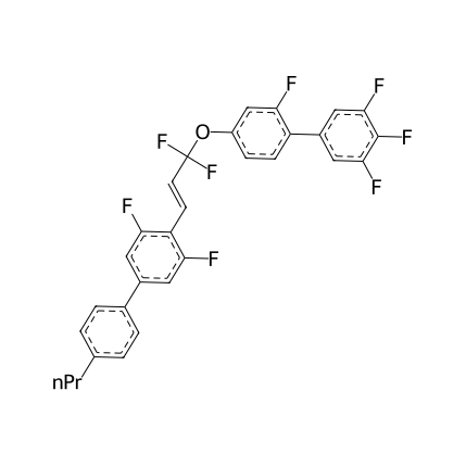 CCCc1ccc(-c2cc(F)c(/C=C/C(F)(F)Oc3ccc(-c4cc(F)c(F)c(F)c4)c(F)c3)c(F)c2)cc1